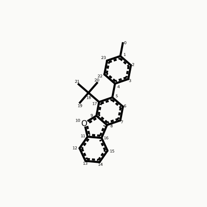 Cc1ccc(-c2ccc3c(oc4ccccc43)c2C(C)(C)C)cc1